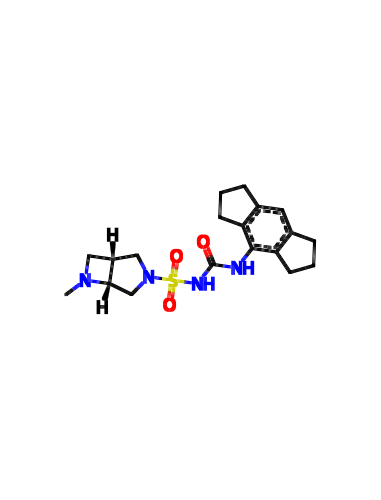 CN1C[C@@H]2CN(S(=O)(=O)NC(=O)Nc3c4c(cc5c3CCC5)CCC4)C[C@@H]21